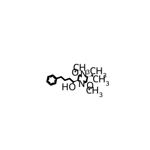 COC1=N[C@H](C(C)C)C(OC)=N[C@H]1C(O)CCCc1ccccc1